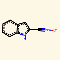 [O-][N+]#Cc1cc2ccccc2[nH]1